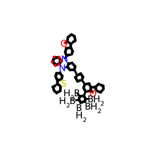 Bc1c(B)c(B)c(-c2cc(-c3ccc(-c4ccc(N(c5ccccc5)c5ccc6c(c5)oc5ccccc56)c(N(c5ccccc5)c5ccc6c(c5)sc5ccccc56)c4)cc3)cc3c2oc2ccccc23)c(B)c1B